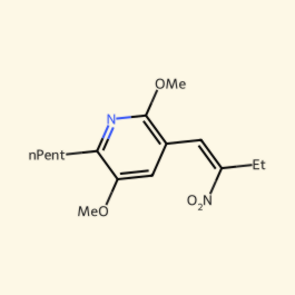 CCCCCc1nc(OC)c(C=C(CC)[N+](=O)[O-])cc1OC